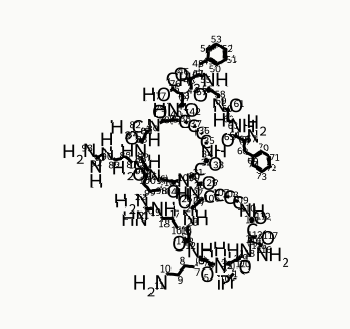 CC(C)C[C@@H]1NC(=O)[C@H](CCCCN)NC(=O)[C@H](CCCNC(=N)N)NC(=O)[C@@H](NC(=O)[C@@H]2CC(=O)NCCCC[C@H](NC(=O)[C@@H](CC(=O)[C@H](Cc3ccccc3)NC(=O)CNC(=O)CNC(=O)[C@@H](N)Cc3ccccc3)C(C)O)C(=O)N[C@@H](C)C(=O)N[C@@H](CCCNC(=N)N)C(=O)N[C@@H](CCCCN)C(=O)N2)CCCCNC(=O)C[C@@H](C(N)=O)NC1=O